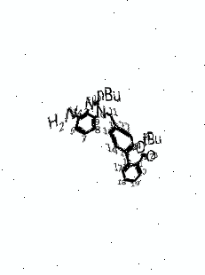 CCCCc1nc2c(N)cccc2n1Cc1ccc(-c2ccccc2C(=O)OC(C)(C)C)cc1